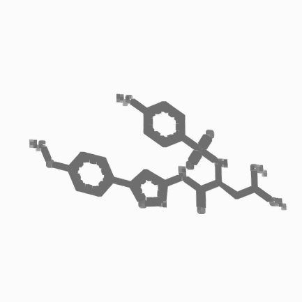 COc1ccc(-c2cc(NC(=O)[C@H](CC(C)C)NS(=O)(=O)c3ccc(C)cc3)no2)cc1